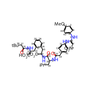 COc1ccc(NC(=C[N+](=O)[O-])Nc2ccc(CC(=O)NC(CC(C)C)C(=O)NC(Cc3ccccc3CC(NC(=O)CC(C)(C)C)C(=O)O)C(=O)O)cc2)cc1